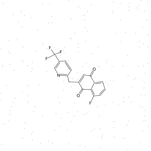 O=C1C=C(Cc2ccc(C(F)(F)F)cn2)C(=O)c2c(F)cccc21